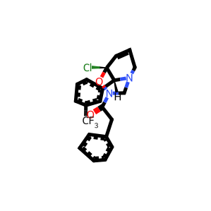 O=C(Cc1ccccc1)N1CN2CC=C[C@@](Cl)(O1)[C@H]2c1cccc(C(F)(F)F)c1